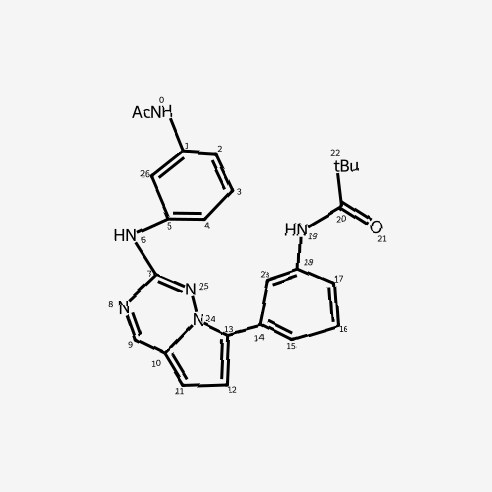 CC(=O)Nc1cccc(Nc2ncc3ccc(-c4cccc(NC(=O)C(C)(C)C)c4)n3n2)c1